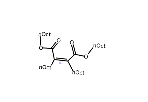 CCCCCCCCOC(=O)/C(CCCCCCCC)=C(/CCCCCCCC)C(=O)OCCCCCCCC